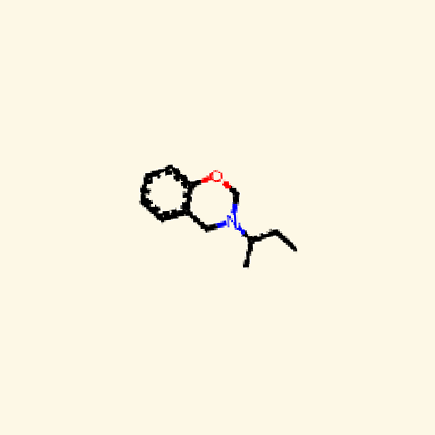 CCC(C)N1COc2ccccc2C1